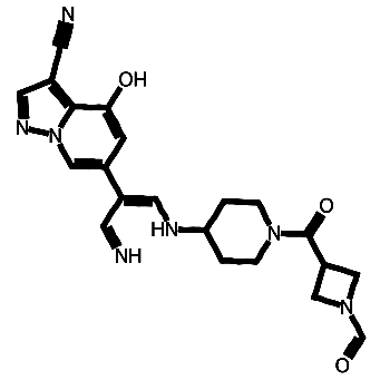 N#Cc1cnn2cc(/C(C=N)=C/NC3CCN(C(=O)C4CN(C=O)C4)CC3)cc(O)c12